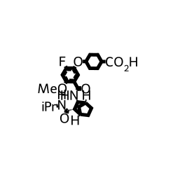 COc1cc(F)c(OC2CCC(C(=O)O)CC2)cc1C(=O)N[C@@H]1[C@H]2CC[C@H](C2)[C@@H]1C(=O)NC(C)C